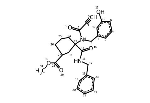 C#CC(=O)N(Cc1cccc(O)c1)C1(C(=O)NCc2ccccc2)CCCC(C(=O)OC)C1